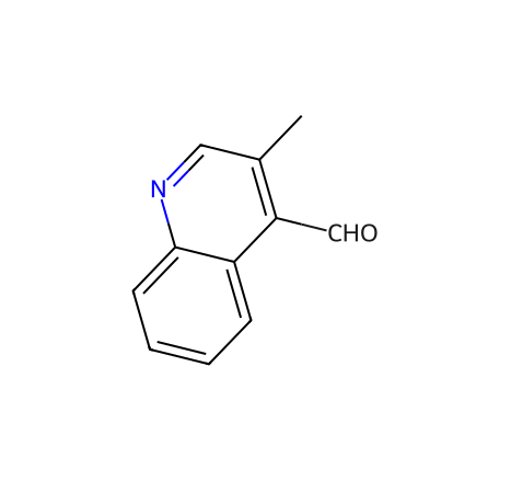 Cc1cnc2ccccc2c1C=O